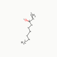 C=CC(=O)CC[CH]CCC